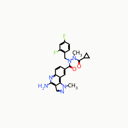 CN(C(=O)C1CC1)N(Cc1ccc(F)cc1F)C(=O)c1ccc2nc(N)c3cnn(C)c3c2c1